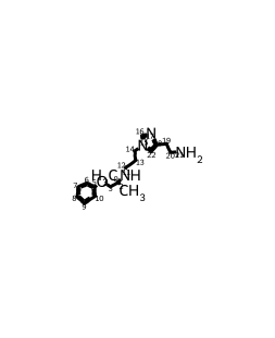 CC(C)(COc1ccccc1)NCCCn1cnc(CCN)c1